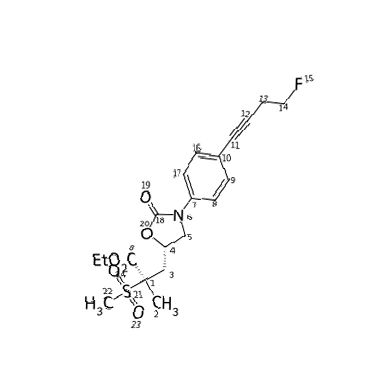 CCOC(=O)[C@@](C)(C[C@H]1CN(c2ccc(C#CCCF)cc2)C(=O)O1)S(C)(=O)=O